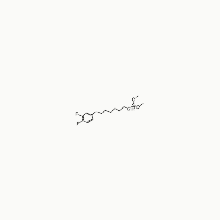 CO[SiH](OC)OCCCCCCCc1ccc(F)c(F)c1